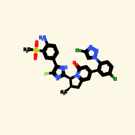 C[C@H]1Cc2cc(-c3cc(Cl)ccc3-n3cc(Cl)nn3)cc(=O)n2[C@@H]1c1nc(F)c(-c2ccc(N)c(S(C)(=O)=O)c2)[nH]1